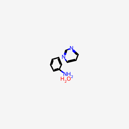 Nc1ccccc1.O.c1cncnc1